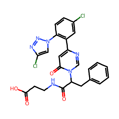 O=C(O)CCNC(=O)C(Cc1ccccc1)n1cnc(-c2cc(Cl)ccc2-n2cc(Cl)nn2)cc1=O